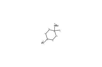 CCCCC1(C)CCC(C(C)C)CC1